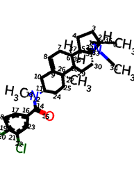 C[C@H]1[C@H]2CC[C@H]3[C@@H]4CC=C5C[C@@H](N(C)C(=O)c6ccc(F)c(Cl)c6)CC[C@]5(C)C4CC[C@]23CN1C